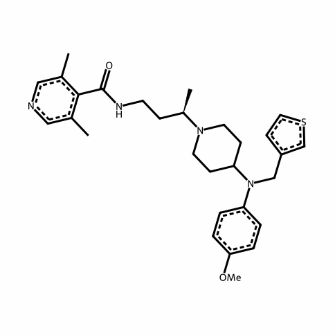 COc1ccc(N(Cc2ccsc2)C2CCN([C@H](C)CCNC(=O)c3c(C)cncc3C)CC2)cc1